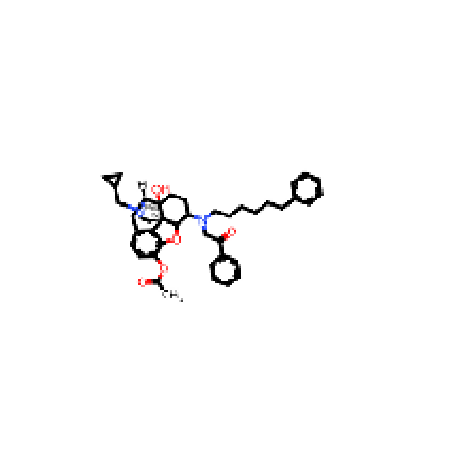 CC(=O)Oc1ccc2c3c1OC1C(N(CCCCCCc4ccccc4)CC(=O)c4ccccc4)CC[C@@]4(O)[C@@H](C2)N(CC2CC2)CC[C@]314